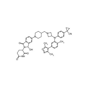 Cc1ccc(-c2c(C)noc2C)cc1N(c1ccc(C2(C#N)CC2)cc1)C1CN(CC2CCN(c3ccc4c(c3)C(O)N(C3CCC(=O)NC3=O)C4=O)CC2)C1